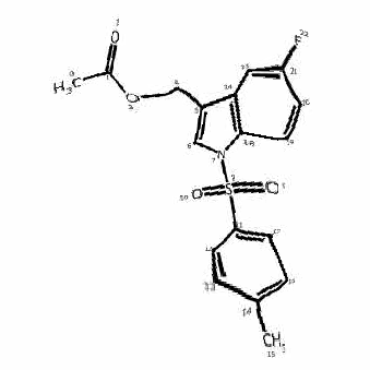 CC(=O)OCc1cn(S(=O)(=O)c2ccc(C)cc2)c2ccc(F)cc12